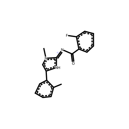 Cc1ccccc1-c1cn(C)/c(=N/C(=O)c2ccccc2F)[nH]1